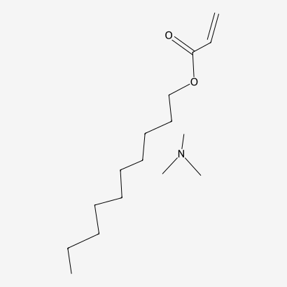 C=CC(=O)OCCCCCCCCCC.CN(C)C